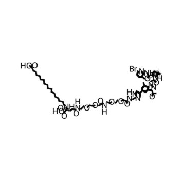 CC(=O)c1nn(CC(=O)N2[C@H](C(=O)Nc3nc(Br)ccc3C)C[C@@]3(C)C[C@@H]23)c2c(C)cc(-c3cnc(CNC(=O)COCCOCCNC(=O)COCCOCCNC(=O)CC[C@H](NC(=O)CCCCCCCCCCCCCCCCC(=O)O)C(=O)O)nc3)cc12